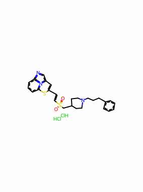 Cl.Cl.O=S(=O)(C=CC1=Cc2cnc3cccc(n23)S1)CC1CCN(CCCc2ccccc2)CC1